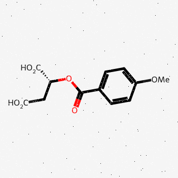 COc1ccc(C(=O)O[C@H](CC(=O)O)C(=O)O)cc1